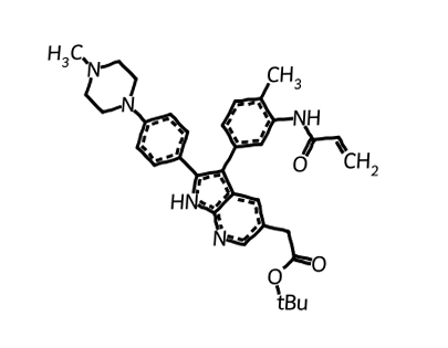 C=CC(=O)Nc1cc(-c2c(-c3ccc(N4CCN(C)CC4)cc3)[nH]c3ncc(CC(=O)OC(C)(C)C)cc23)ccc1C